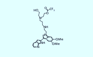 COc1cc2c(-c3cc4cccnc4[nH]3)cn(CCNCCCN(CCO)CCOC(=O)C(F)(F)F)c2cc1OC